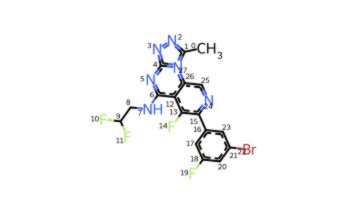 Cc1nnc2nc(NCC(F)F)c3c(F)c(-c4cc(F)cc(Br)c4)ncc3n12